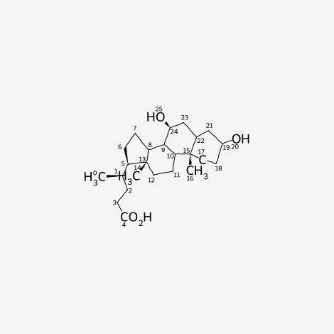 C[C@H](CCC(=O)O)[C@H]1CCC2C3C(CC[C@@]21C)[C@@]1(C)CCC(O)CC1C[C@@H]3O